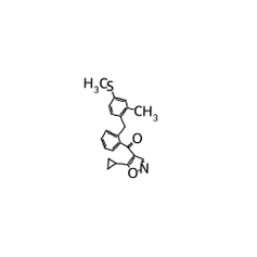 CSc1ccc(Cc2ccccc2C(=O)c2cnoc2C2CC2)c(C)c1